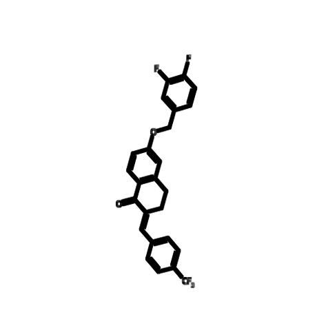 O=C1/C(=C/c2ccc(C(F)(F)F)cc2)CCc2cc(OCc3ccc(F)c(F)c3)ccc21